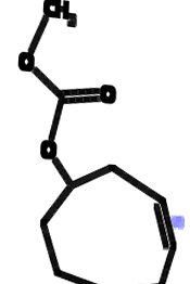 COC(=O)OC1C/C=C\CCCC1